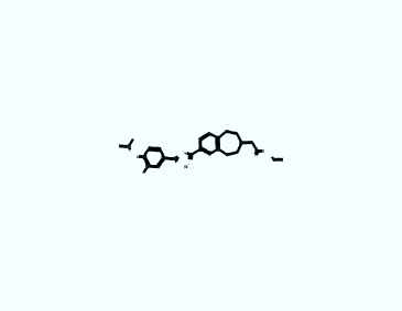 CCOC(=O)CC1CCc2ccc(-c3noc(-c4ccc(OC(C)C)c(Cl)c4)n3)cc2CC1